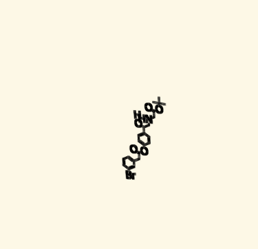 CC(C)(C)OC(=O)CNCC(O)c1ccc(OC(=O)Cc2cccc(Br)c2)cc1